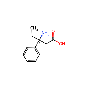 CC[C@](N)(CC(=O)O)c1ccccc1